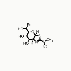 CC[C@H](O)[C@H]1O[C@@H]2SC(N(C)CC)=N[C@@H]2[C@@H](O)[C@@H]1O